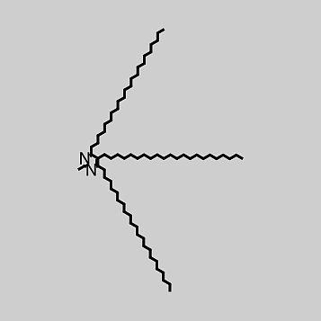 CCCCCCCCCCCCCCCCCCCCCCc1nc(C)nc(CCCCCCCCCCCCCCCCCCCCCC)c1CCCCCCCCCCCCCCCCCCCCCC